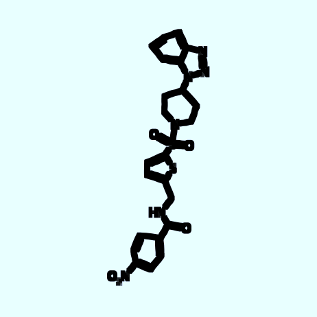 O=C(NCc1ccc(S(=O)(=O)N2CCC(n3nnc4ccccc43)CC2)s1)c1ccc([N+](=O)[O-])cc1